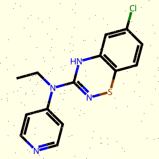 CCN(C1=NSc2ccc(Cl)cc2N1)c1ccncc1